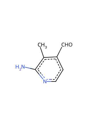 Cc1c(C=O)ccnc1N